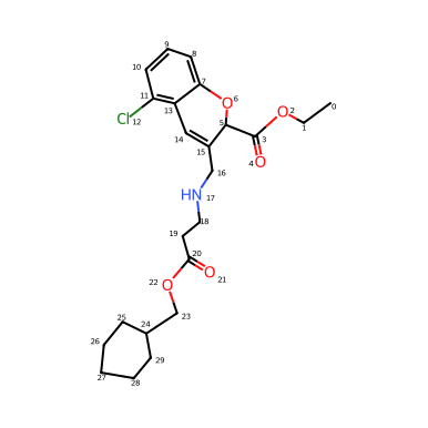 CCOC(=O)C1Oc2cccc(Cl)c2C=C1CNCCC(=O)OCC1CCCCC1